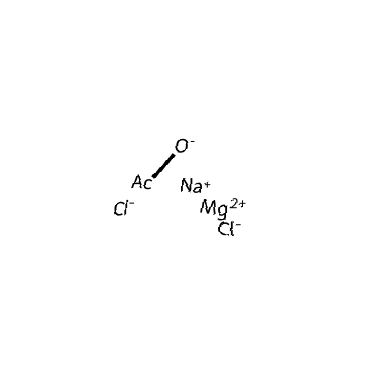 CC(=O)[O-].[Cl-].[Cl-].[Mg+2].[Na+]